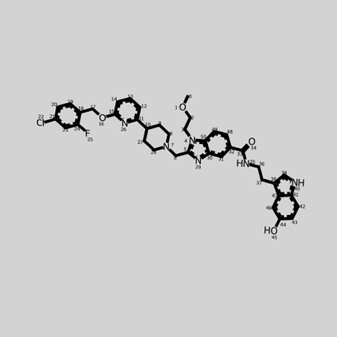 COCCn1c(CN2CCC(c3cccc(OCc4ccc(Cl)cc4F)n3)CC2)nc2cc(C(=O)NCCc3c[nH]c4ccc(O)cc34)ccc21